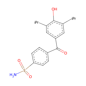 CC(C)c1cc(C(=O)c2ccc(S(N)(=O)=O)cc2)cc(C(C)C)c1O